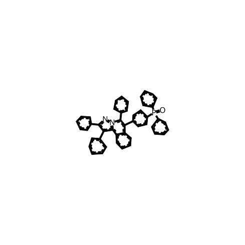 O=P(c1ccccc1)(c1ccccc1)c1ccc(-c2c(-c3ccccc3)n3nc(-c4ccccc4)c(-c4ccccc4)c3c3ccccc23)cc1